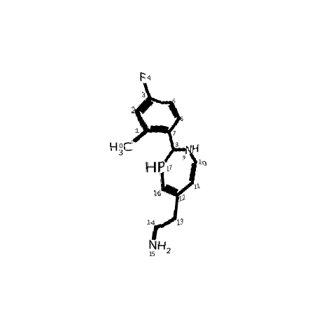 Cc1cc(F)ccc1C1NC=CC(CCN)=CP1